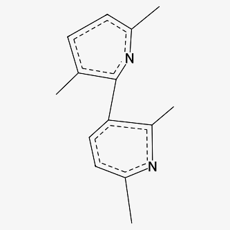 Cc1ccc(-c2nc(C)ccc2C)c(C)n1